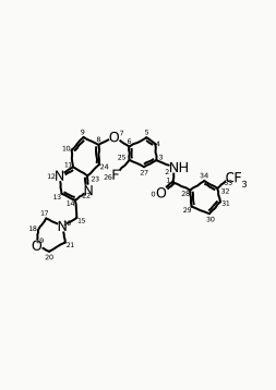 O=C(Nc1ccc(Oc2ccc3ncc(CN4CCOCC4)nc3c2)c(F)c1)c1cccc(C(F)(F)F)c1